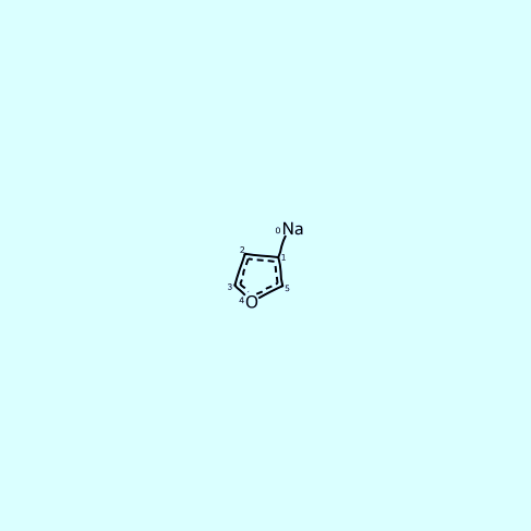 [Na][c]1ccoc1